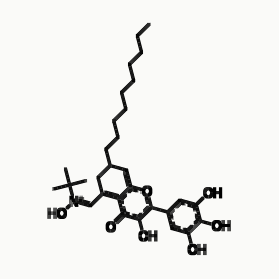 CCCCCCCCCCC1C=c2oc(-c3cc(O)c(O)c(O)c3)c(O)c(=O)c2=C(/C=[N+](/O)C(C)(C)C)C1